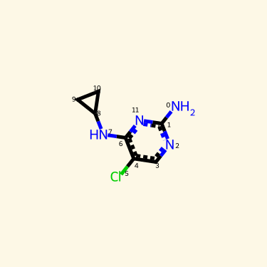 Nc1ncc(Cl)c(NC2CC2)n1